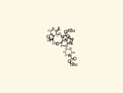 CC(C)(C)OC(=O)N1CCC(c2cc3c(n4cnnc24)N(C(=O)OC(C)(C)C)Cc2c(F)ccc4c2[C@H](CO4)CO3)CC1